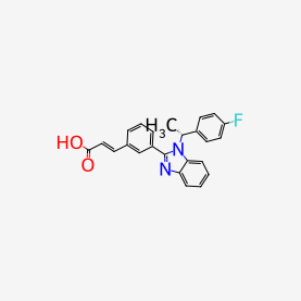 C[C@H](c1ccc(F)cc1)n1c(-c2cccc(/C=C/C(=O)O)c2)nc2ccccc21